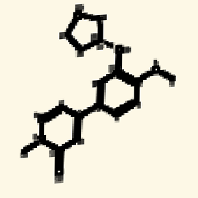 COc1ccc(-c2cnn(C)c(=O)c2)cc1O[C@@H]1CCOC1